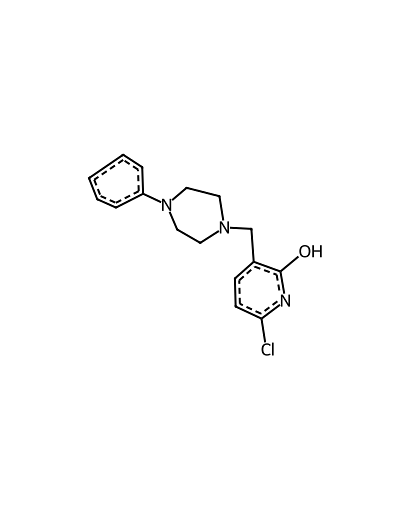 Oc1nc(Cl)ccc1CN1CCN(c2ccccc2)CC1